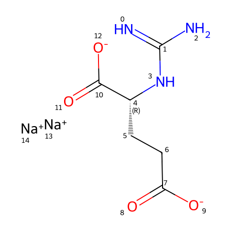 N=C(N)N[C@H](CCC(=O)[O-])C(=O)[O-].[Na+].[Na+]